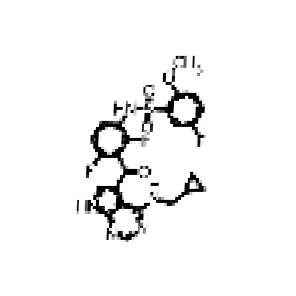 COc1ccc(F)cc1S(=O)(=O)Nc1ccc(F)c(C(=O)c2c[nH]c3ncnc(NCC4CC4)c23)c1F